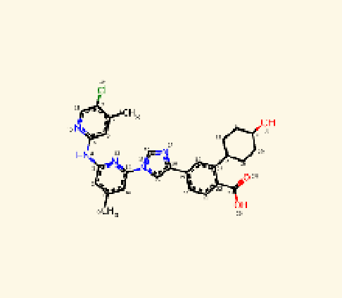 Cc1cc(Nc2cc(C)c(Cl)cn2)nc(-n2cnc(-c3ccc(C(=O)O)c(C4CCC(O)CC4)c3)c2)c1